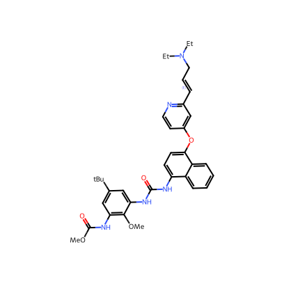 CCN(CC)C/C=C/c1cc(Oc2ccc(NC(=O)Nc3cc(C(C)(C)C)cc(NC(=O)OC)c3OC)c3ccccc23)ccn1